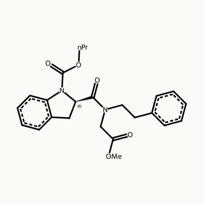 CCCOC(=O)N1c2ccccc2C[C@@H]1C(=O)N(CCc1ccccc1)CC(=O)OC